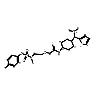 Cc1ccc(OS(=O)(=O)N(C)CCOCC(=O)NC2CCC(C(c3cccs3)N(C)C)CC2)cc1